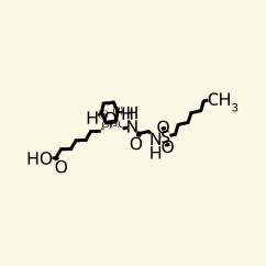 CCCCCCCS(=O)(=O)NCC(=O)NC[C@@H]1[C@H](CCCCCCC(=O)O)[C@@H]2CC[C@H]1O2